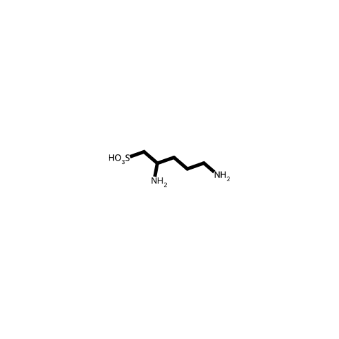 NCCCC(N)CS(=O)(=O)O